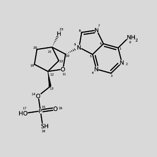 Nc1ncnc2c1ncn2[C@@H]1O[C@]2(COP(=O)(O)S)CC[C@@H]1C2